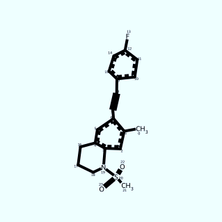 Cc1cc2c(cc1C#Cc1ccc(F)cc1)CCCN2S(C)(=O)=O